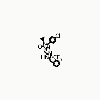 O=c1n(Cc2nnc(Cc3ccccc3C(F)(F)F)[nH]2)nc(-c2ccc(Cl)cc2)n1C1CC1